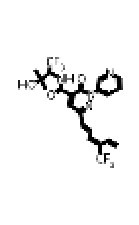 C=C/C(=C\C=C\c1cc(C(=O)NC(C(C)(C)O)C(F)(F)F)c(=O)n(-c2cccnc2)n1)C(F)(F)F